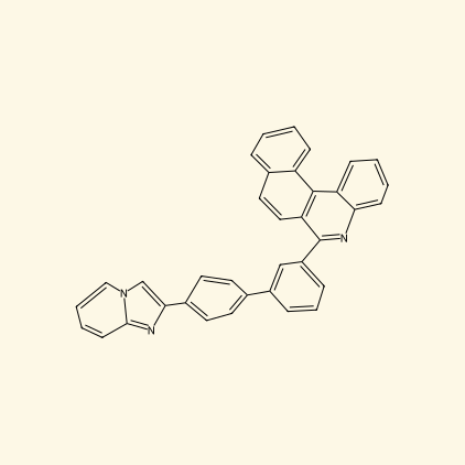 c1cc(-c2ccc(-c3cn4ccccc4n3)cc2)cc(-c2nc3ccccc3c3c2ccc2ccccc23)c1